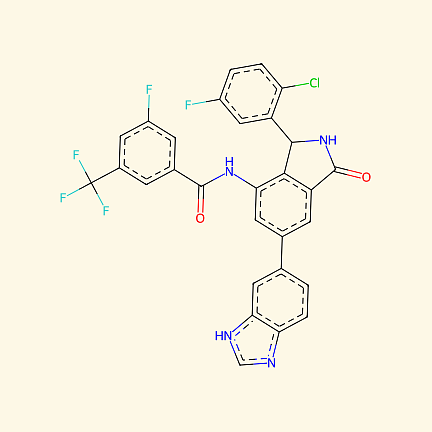 O=C(Nc1cc(-c2ccc3nc[nH]c3c2)cc2c1C(c1cc(F)ccc1Cl)NC2=O)c1cc(F)cc(C(F)(F)F)c1